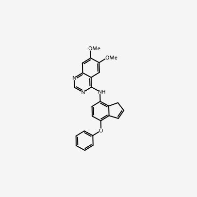 COc1cc2ncnc(Nc3ccc(Oc4ccccc4)c4c3CC=C4)c2cc1OC